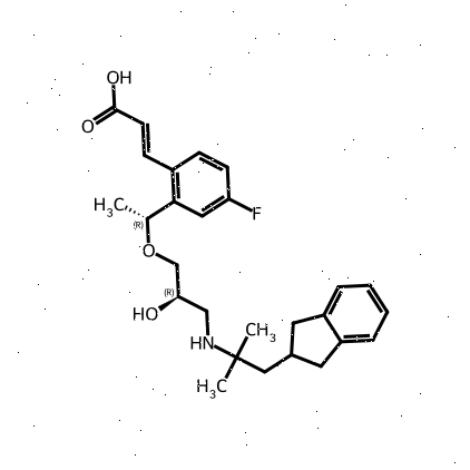 C[C@@H](OC[C@H](O)CNC(C)(C)CC1Cc2ccccc2C1)c1cc(F)ccc1C=CC(=O)O